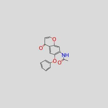 CC(=O)Nc1cc2occc(=O)c2cc1Oc1ccccc1